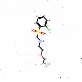 O=C(O)COCCNCS(=O)(=O)c1ccccc1Cl